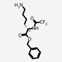 NCCCC[C@H](NC(=O)C(F)(F)F)C(=O)OCc1ccccc1